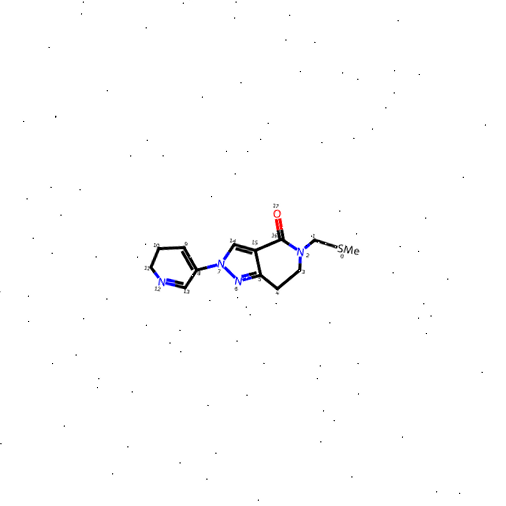 CSCN1CCc2nn(C3=CCCN=C3)cc2C1=O